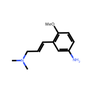 COc1ccc(N)cc1/C=C/CN(C)C